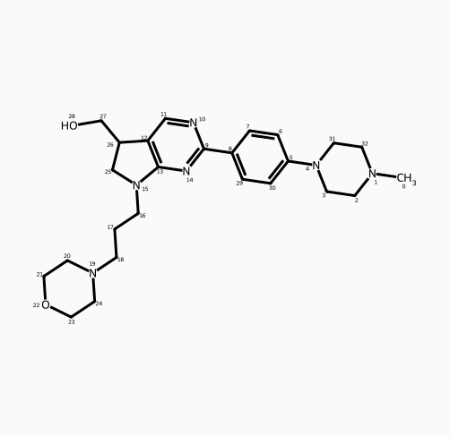 CN1CCN(c2ccc(-c3ncc4c(n3)N(CCCN3CCOCC3)CC4CO)cc2)CC1